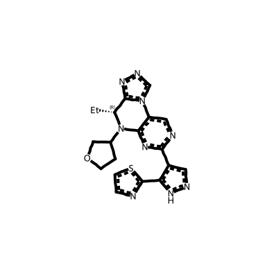 CC[C@@H]1c2nncn2-c2cnc(-c3cn[nH]c3-c3nccs3)nc2N1C1CCOC1